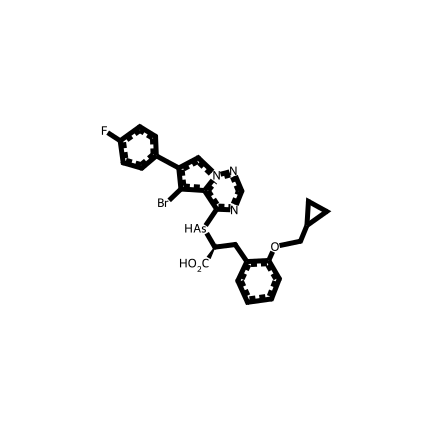 O=C(O)[C@H](Cc1ccccc1OCC1CC1)[AsH]c1ncnn2cc(-c3ccc(F)cc3)c(Br)c12